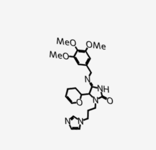 COc1cc(CN=C2NC(=O)N(CCCn3ccnc3)C2C2CCC=CO2)cc(OC)c1OC